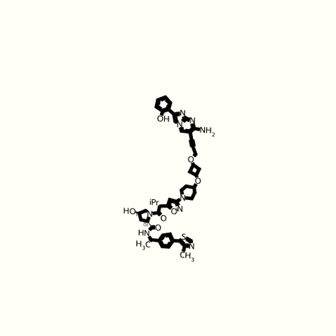 Cc1ncsc1-c1ccc(C(C)NC(=O)[C@@H]2C[C@@H](O)CN2C(=O)C(c2cc(N3CCC(OC4CC(OCC#Cc5cn6cc(-c7ccccc7O)nc6nc5N)C4)CC3)no2)C(C)C)cc1